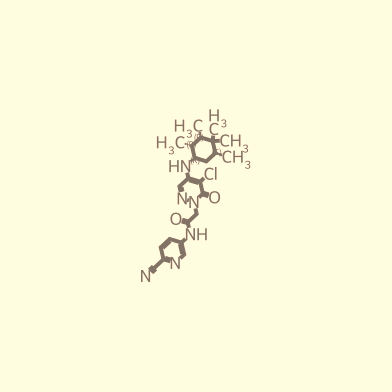 C[C@@H]1[C@@H](C)C(C)(C)[C@@H](C)C[C@H]1Nc1cnn(CC(=O)Nc2ccc(C#N)nc2)c(=O)c1Cl